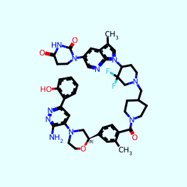 Cc1cc([C@@H]2CN(c3cc(-c4ccccc4O)nnc3N)CCO2)ccc1C(=O)N1CCC(CN2CCC(n3cc(C)c4cc(N5CCC(=O)NC5=O)cnc43)C(F)(F)C2)CC1